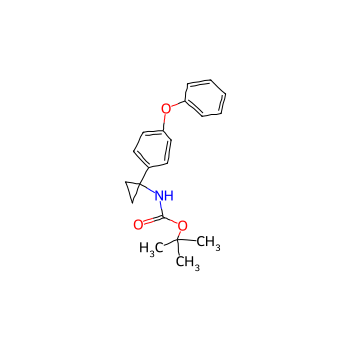 CC(C)(C)OC(=O)NC1(c2ccc(Oc3ccccc3)cc2)CC1